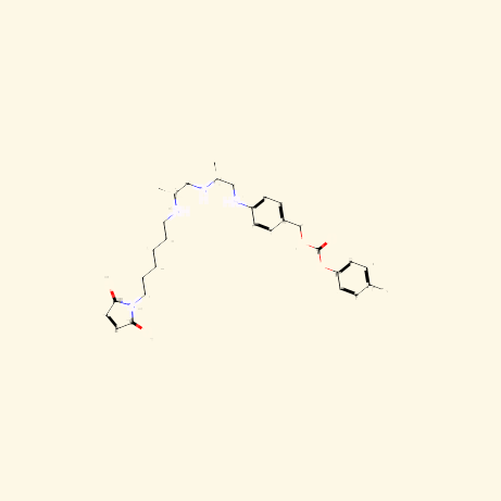 C[C@@H](CNc1ccc(COC(=O)Oc2ccc([N+](=O)[O-])cc2)cc1)NC[C@H](C)NCCCCCCN1C(=O)C=CC1=O